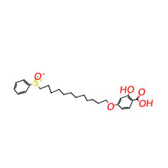 O=C(O)c1ccc(OCCCCCCCCCCCC[S+]([O-])c2ccccc2)cc1O